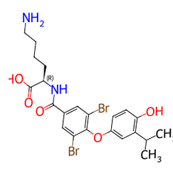 CC(C)c1cc(Oc2c(Br)cc(C(=O)N[C@H](CCCCN)C(=O)O)cc2Br)ccc1O